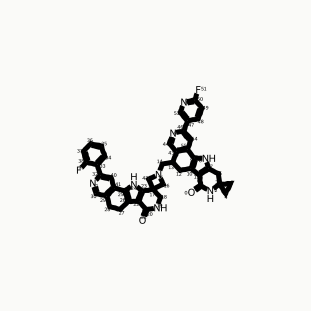 O=C1NC2(CC2)Cc2[nH]c3c(c21)CC(CN1CC2(CNC(=O)c4c2[nH]c2c4CCc4cnc(-c5ccccc5F)cc4-2)C1)c1cnc(-c2ccc(F)nc2)cc1-3